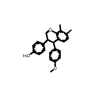 COc1ccc(C2c3ccc(C)c(C)c3OCC2c2ccc(O)cc2)cc1